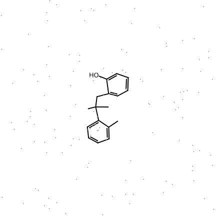 Cc1ccccc1C(C)(C)Cc1ccccc1O